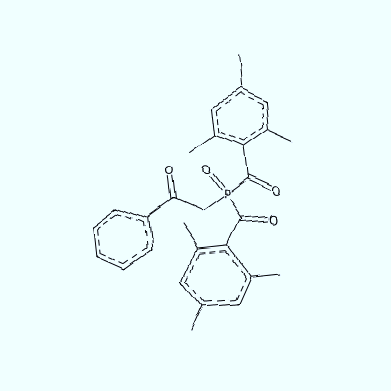 Cc1cc(C)c(C(=O)P(=O)(CC(=O)c2ccccc2)C(=O)c2c(C)cc(C)cc2C)c(C)c1